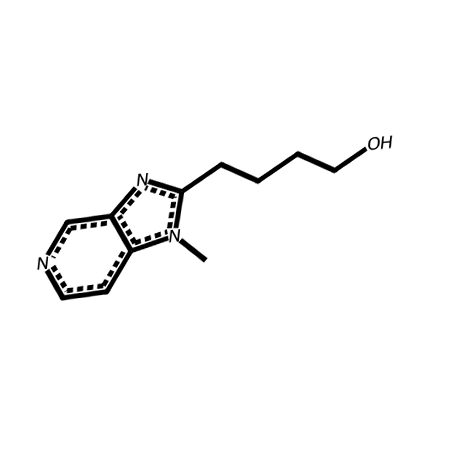 Cn1c(CCCCO)nc2cnccc21